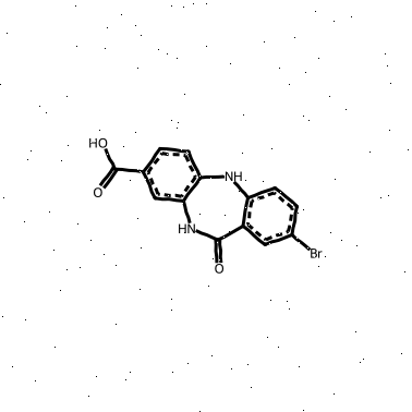 O=C(O)c1ccc2c(c1)NC(=O)c1cc(Br)ccc1N2